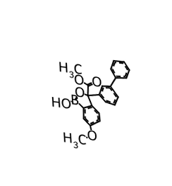 COC(=O)C1(c2cccc(-c3ccccc3)c2)OB(O)c2cc(OC)ccc21